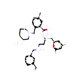 CCc1cccc(CNC[C@@H](O)[C@H](Cc2cc(F)cc(F)c2)NC(=O)c2cc(C)ccc2C(=O)N2CCCC(O)C2)c1